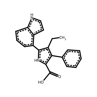 CCc1c(-c2cccc3[nH]ccc23)[nH]c(C(=O)O)c1-c1ccccc1